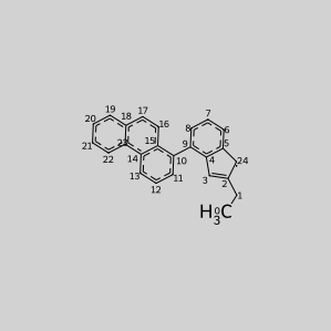 CCC1=Cc2c(cccc2-c2cccc3c2ccc2ccccc23)[CH]1